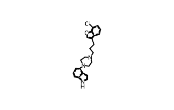 Clc1cccc2c(CCCN3CCN(c4cccc5[nH]ccc45)CC3)coc12